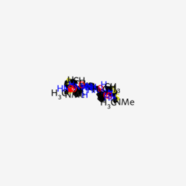 CN[C@@H](C)C(=S)N[C@H]1CCS[C@H]2CC(C)(C)[C@@H](C(=O)N[C@H]3c4ccccc4CC3C(=O)NCN3CCN(CNC(=O)[C@@H]4Cc5ccccc5[C@@H]4NC(=O)[C@H]4N5C(=O)[C@@H](NC(=S)[C@H](C)NC)CCS[C@H]5CC4(C)C)CC3)N2C1=O